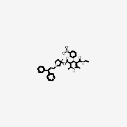 CCOC(=O)C1=C(C)NC(C)=C(C(=O)O[C@@]2(C)CCN(CCC(c3ccccc3)c3ccccc3)C2)[C@H]1c1cccc([N+](=O)[O-])c1